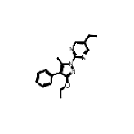 CCOc1nn(-c2ncc(CC)cn2)c(C)c1-c1ccccc1